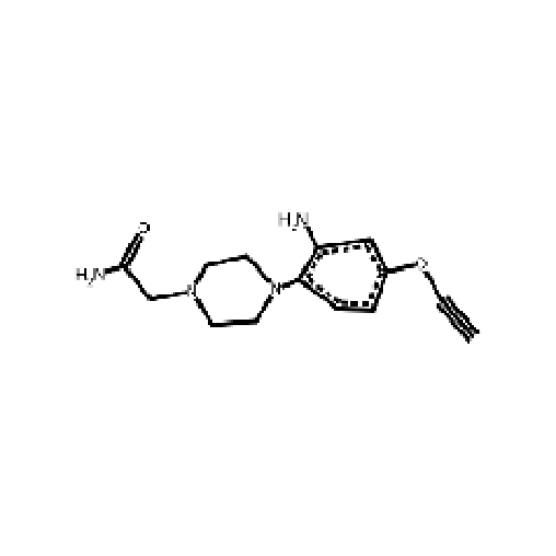 C#COc1ccc(N2CCN(CC(N)=O)CC2)c(N)c1